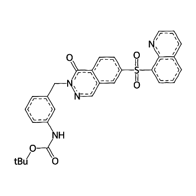 CC(C)(C)OC(=O)Nc1cccc(Cn2ncc3cc(S(=O)(=O)c4cccc5cccnc45)ccc3c2=O)c1